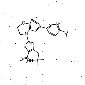 COc1ccc(-c2ccc3c(c2)N(c2nc4c(s2)C(=O)NC(C)(C)C4)CCO3)cn1